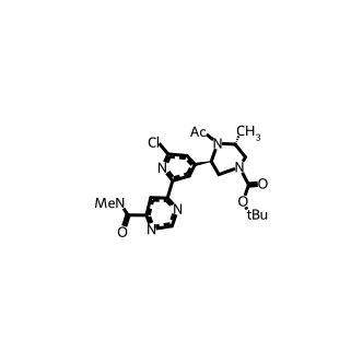 CNC(=O)c1cc(-c2cc([C@@H]3CN(C(=O)OC(C)(C)C)C[C@@H](C)N3C(C)=O)cc(Cl)n2)ncn1